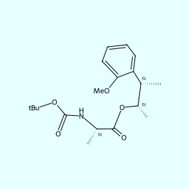 COc1ccccc1[C@H](C)[C@H](C)OC(=O)[C@H](C)NC(=O)OC(C)(C)C